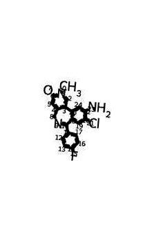 Cn1cc2c(cc1=O)CN=C(c1ccc(F)cc1)c1cc(Cl)c(N)cc1-2